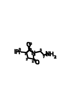 CC(C)C1CC(=O)N(CCN)C1=O